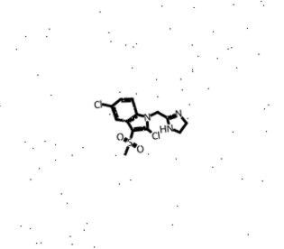 CS(=O)(=O)c1c(Cl)n(CC2=NCCN2)c2ccc(Cl)cc12